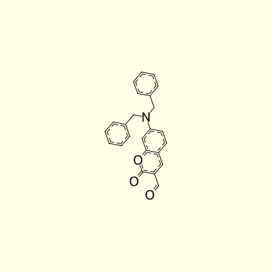 O=Cc1cc2ccc(N(Cc3ccccc3)Cc3ccccc3)cc2oc1=O